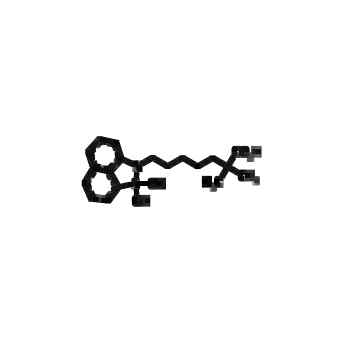 CC(C)(CCCCCN1c2cccc3cccc(c23)S1(O)O)C(=O)O